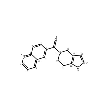 O=C(c1ccc2ncccc2c1)N1CCc2oncc2C1